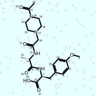 COc1ccc(C[C@H](NC(=O)[C@H](C)NC(=O)CN2CCN(C(C)=O)CC2)C(=O)O)cc1